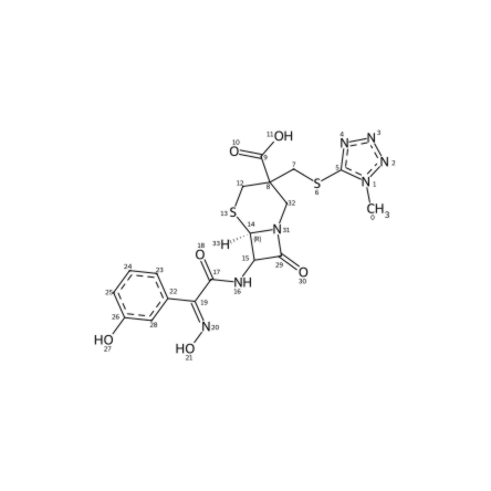 Cn1nnnc1SCC1(C(=O)O)CS[C@@H]2C(NC(=O)C(=NO)c3cccc(O)c3)C(=O)N2C1